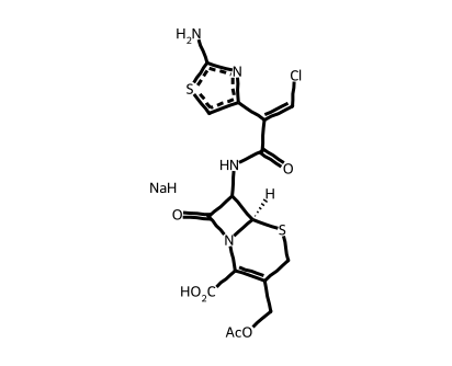 CC(=O)OCC1=C(C(=O)O)N2C(=O)C(NC(=O)/C(=C/Cl)c3csc(N)n3)[C@H]2SC1.[NaH]